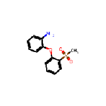 CS(=O)(=O)c1ccccc1Oc1ccccc1N